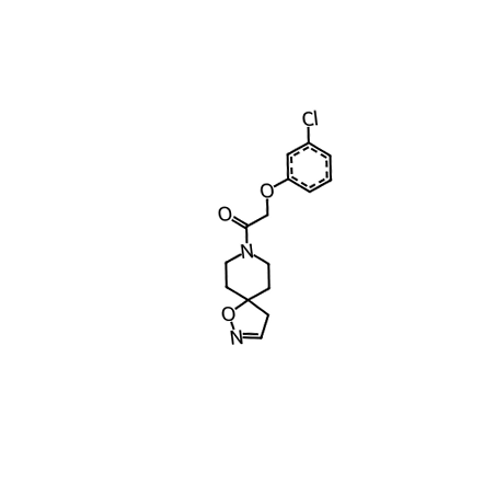 O=C(COc1cccc(Cl)c1)N1CCC2(CC=NO2)CC1